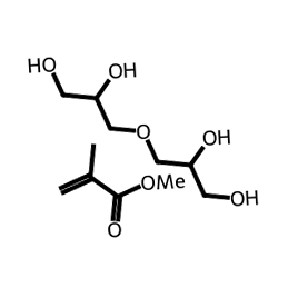 C=C(C)C(=O)OC.OCC(O)COCC(O)CO